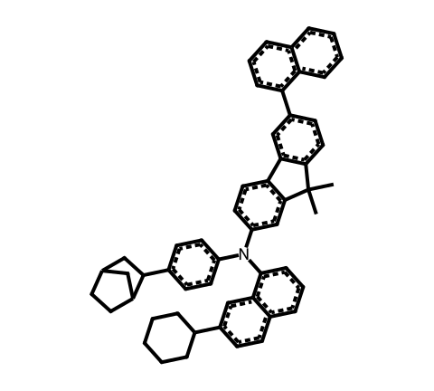 CC1(C)c2ccc(-c3cccc4ccccc34)cc2-c2ccc(N(c3ccc(C4CC5CCC4C5)cc3)c3cccc4ccc(C5CCCCC5)cc34)cc21